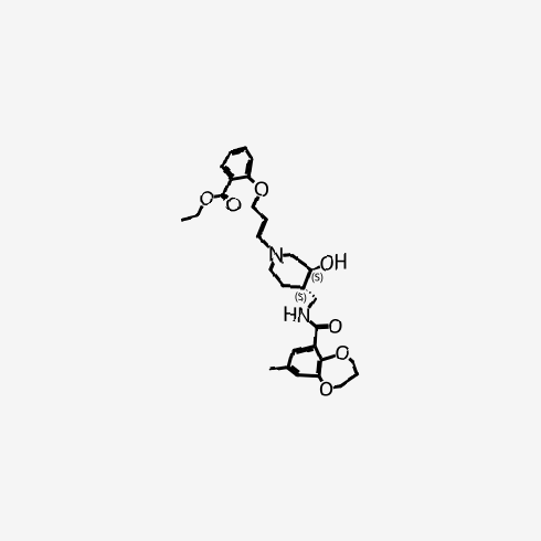 CCOC(=O)c1ccccc1OCCCN1CC[C@@H](CNC(=O)c2cc(C)cc3c2OCCCO3)[C@H](O)C1